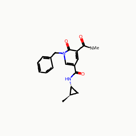 CNC(=O)c1cc(C(=O)N[C@@H]2C[C@H]2C)cn(Cc2ccccc2)c1=O